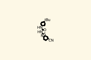 CC(C)(C)c1ccc(NC(=O)Nc2nc3ccc(C#N)cc3s2)cc1